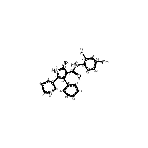 CC(C)c1[nH]c(-c2cccnc2)c(-c2ccccc2)c1C(=O)Nc1ccc(F)cc1F